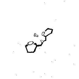 C1COC(COCC2CCCO2)C1.[Ba]